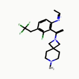 BN1CCC2(CC1)CN(C(=C)c1c(/N=C\C)ccc(CC(F)(F)F)c1F)C2